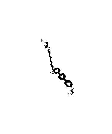 C=CC(=O)OCCCCCCCCCC1(C#N)CCCC(c2ccc(-c3ccc(OCCC(C)C)cc3)cc2)C1